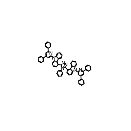 c1ccc(-c2cc(-c3ccccc3)nc(-n3c4ccccc4c4c(-c5nnc(-c6cccc7c6c6ccccc6n7-c6cc(-c7ccccc7)cc(-c7ccccc7)n6)n5-c5ccccc5)cccc43)c2)cc1